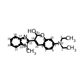 CCN(CC)c1ccc2c(c1)OC(O)C(c1nc3ccccc3n1C)=C2